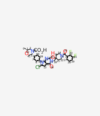 C[C@H]1CN(C(=O)O)[C@H](c2ccc(-n3c(Cl)cc4c(=O)n(CC5(O)CCN(C(=O)c6cccc(F)c6F)CC5)cnc43)cc2)CO1